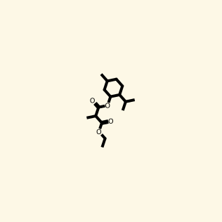 CCOC(=O)C(C)C(=O)OC1CC(C)CCC1C(C)C